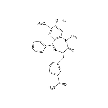 CCOc1cc2c(cc1OC)C(c1ccccc1)=NC(Cc1cccc(C(N)=O)c1)C(=O)N2C